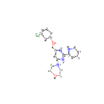 Clc1cccc(OCc2cc(N3CCOCC3)nc(-c3ccccn3)n2)c1